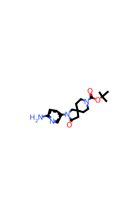 CC(C)(C)OC(=O)N1CCC2(CC1)CC(=O)N(c1ccc(N)nc1)C2